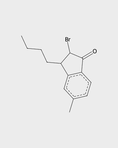 CCCCC1c2cc(C)ccc2C(=O)C1Br